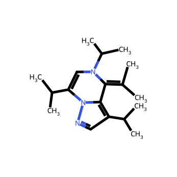 CC(C)=C1c2c(C(C)C)cnn2C(C(C)C)=CN1C(C)C